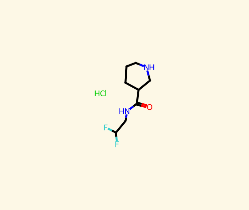 Cl.O=C(NCC(F)F)C1CCCNC1